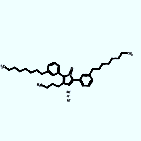 CCCCCCCCc1cccc(C2=CC(CCCC)=C(c3cccc(CCCCCCCC)c3)[N+]2=[N-])c1.[H-].[H-].[Pd]